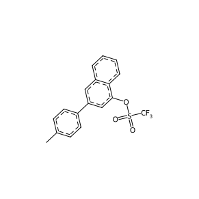 Cc1ccc(-c2cc(OS(=O)(=O)C(F)(F)F)c3ccccc3c2)cc1